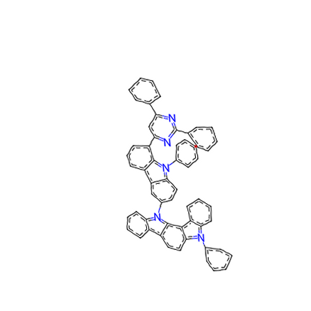 c1ccc(-c2cc(-c3cccc4c5cc(-n6c7ccccc7c7ccc8c(c9ccccc9n8-c8ccccc8)c76)ccc5n(-c5ccccc5)c34)nc(-c3ccccc3)n2)cc1